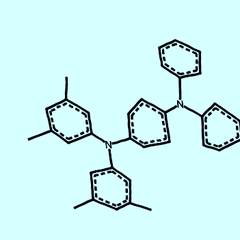 Cc1cc(C)cc(N(c2ccc(N(c3ccccc3)c3ccccc3)cc2)c2cc(C)cc(C)c2)c1